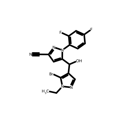 CCn1ncc(C(O)c2cc(C#N)nn2-c2ccc(F)cc2F)c1Br